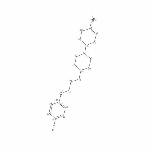 CCCC1CCC(C2CCC(CCCOc3ccc(F)cc3)CC2)CC1